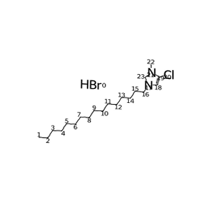 Br.CCCCCCCCCCCCCCCCN1C=C(Cl)N(C)C1